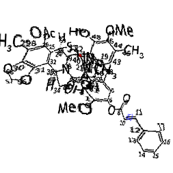 COc1cc2c(cc1OC(=O)/C=C/c1ccccc1)CCN[C@]21CS[C@@H]2c3c(OC(C)=O)c(C)c4c(c3[C@H](COC1=O)N1C2C2c3c(cc(C)c(OC)c3O)C[C@@H]([C@@H]1O)N2C)OCO4